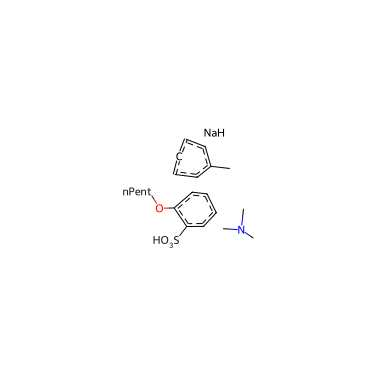 CCCCCOc1ccccc1S(=O)(=O)O.CN(C)C.Cc1ccccc1.[NaH]